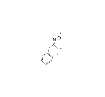 CO/N=C(/Cc1ccccc1)C(C)C